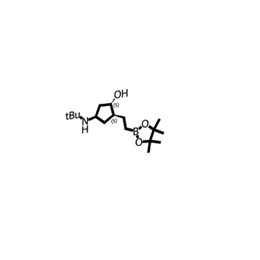 CC(C)(C)NC1C[C@H](CCB2OC(C)(C)C(C)(C)O2)[C@@H](O)C1